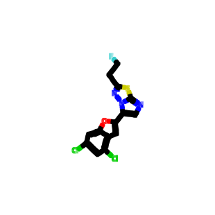 FCCc1nn2c(-c3cc4c(Cl)cc(Cl)cc4o3)cnc2s1